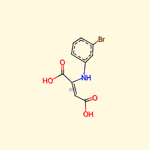 O=C(O)/C=C(\Nc1cccc(Br)c1)C(=O)O